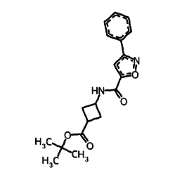 CC(C)(C)OC(=O)C1CC(NC(=O)c2cc(-c3ccccc3)no2)C1